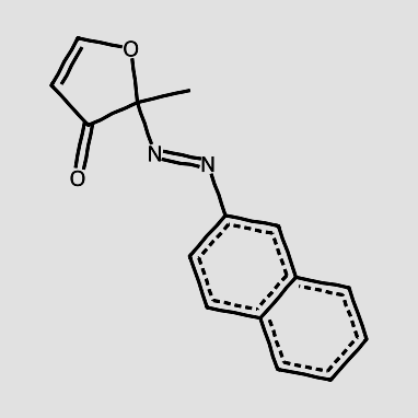 CC1(/N=N/c2ccc3ccccc3c2)OC=CC1=O